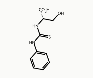 O=C(O)[C@H](CO)NC(=S)Nc1ccccc1